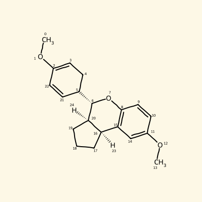 COC1=CCC([C@@H]2Oc3ccc(OC)cc3[C@H]3CCC[C@H]32)C=C1